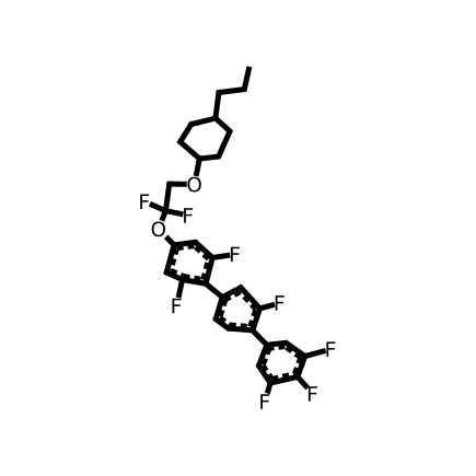 CCCC1CCC(OCC(F)(F)Oc2cc(F)c(-c3ccc(-c4cc(F)c(F)c(F)c4)c(F)c3)c(F)c2)CC1